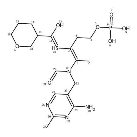 C/C(=C(CCOP(=O)(O)O)/[SH]=C(\O)C1CCCOC1)N(C=O)Cc1cnc(C)nc1N